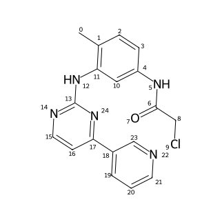 Cc1ccc(NC(=O)CCl)cc1Nc1nccc(-c2cccnc2)n1